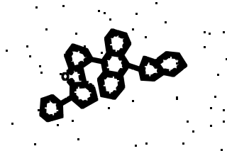 c1ccc(-c2cccc3c2oc2cccc(-c4c5ccccc5c(-c5ccc6ccccc6c5)c5ccccc45)c23)cc1